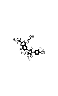 CC(F)(F)c1nc(OCCO)c2cc(N3C(=S)N(c4ccc(C#N)c(C(F)(F)F)c4)C(=O)C3(C)C)cc(F)c2n1